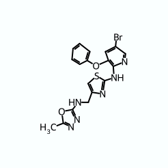 Cc1nnc(NCc2csc(Nc3ncc(Br)cc3Oc3ccccc3)n2)o1